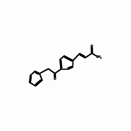 NC(=O)/C=C/c1ccc(C(=O)Cc2ccccc2)cc1